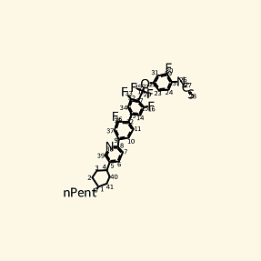 CCCCCC1CCC(c2ccc(-c3ccc(-c4cc(F)c(C(F)(F)Oc5ccc(N=C=S)c(F)c5)c(F)c4)c(F)c3)nc2)CC1